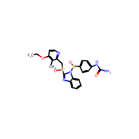 Cc1c(OCC(F)(F)F)ccnc1C[S+]([O-])c1nc2ccccc2n1[S+]([O-])c1ccc(NC(N)=O)cc1